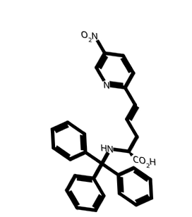 O=C(O)[C@H](C/C=C/c1ccc([N+](=O)[O-])cn1)NC(c1ccccc1)(c1ccccc1)c1ccccc1